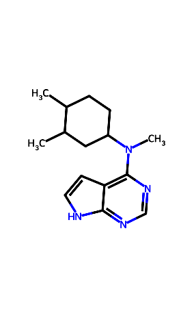 CC1CCC(N(C)c2ncnc3[nH]ccc23)CC1C